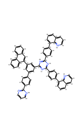 c1cnc(-c2ccc(-c3cc(-c4nc(-c5ccc(-c6cccc7cccnc67)cc5)nc(-c5ccc(-c6cccc7cccnc67)cc5)n4)cc(-c4cc5ccccc5c5ccccc45)c3)cc2)nc1